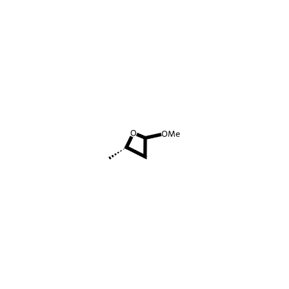 COC1C[C@H](C)O1